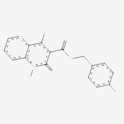 Cn1c(=O)c(C(=O)NCc2ccc(F)cc2)c(O)c2ncccc21